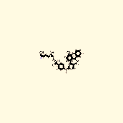 C/C=C\CCN(CCC)CCNC(=O)c1ccc(Nc2ncc3c(n2)-c2ccc(Cl)cc2C(c2ccccc2Cl)=NC3)cc1